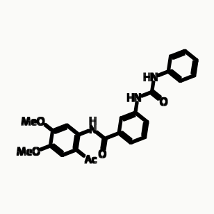 COc1cc(NC(=O)c2cccc(NC(=O)Nc3ccccc3)c2)c(C(C)=O)cc1OC